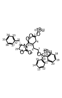 CC(C)(C)OC(=O)CC(CCO[Si](c1ccccc1)(c1ccccc1)C(C)(C)C)C(=O)N1C(=O)OC[C@@H]1Cc1ccccc1